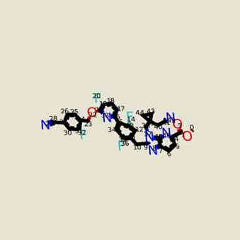 COC(=O)c1ccc2nc(Cc3cc(F)c(-c4ccc(F)c(OCc5ccc(C#N)cc5F)n4)cc3F)n(CC3(CC#N)CC3)c2n1